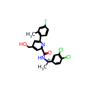 Cc1cc(F)ccc1-c1cc(CO)cc(C(=O)N[C@H](C)c2ccc(Cl)c(Cl)c2)n1